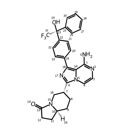 Nc1nccn2c([C@@H]3CC[C@H]4CCC(=O)N4C3)nc(-c3ccc([C@@](O)(c4ccccc4)C(F)(F)F)cc3)c12